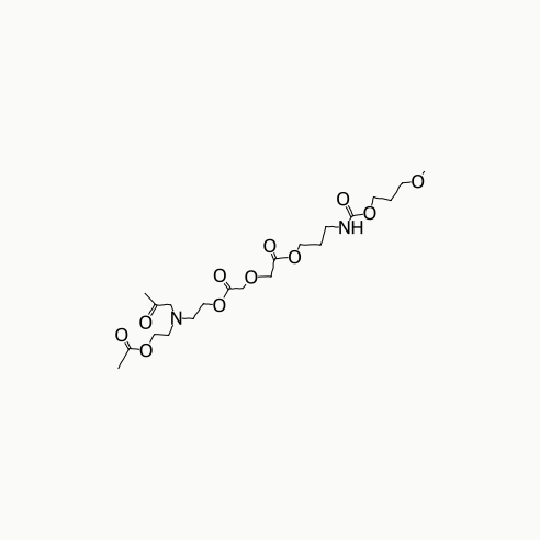 COCCCOC(=O)NCCCOC(=O)COCC(=O)OCCN(CCOC(C)=O)CC(C)=O